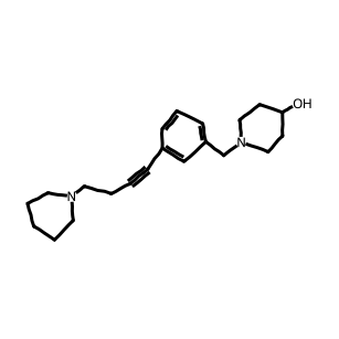 OC1CCN(Cc2cccc(C#CCCN3CCCCC3)c2)CC1